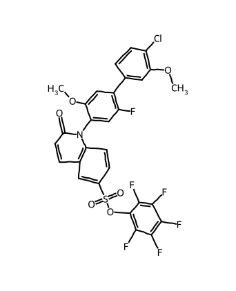 COc1cc(-c2cc(OC)c(-n3c(=O)ccc4cc(S(=O)(=O)Oc5c(F)c(F)c(F)c(F)c5F)ccc43)cc2F)ccc1Cl